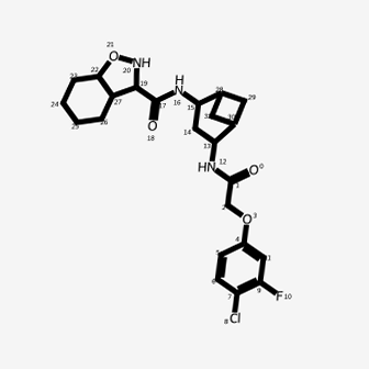 O=C(COc1ccc(Cl)c(F)c1)NC1CC(NC(=O)C2NOC3CCCCC32)C2CC1C2